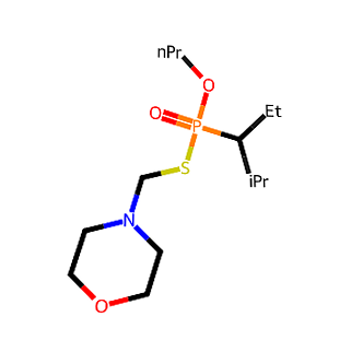 CCCOP(=O)(SCN1CCOCC1)C(CC)C(C)C